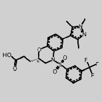 Cc1nn(C)c(C)c1-c1ccc2c(c1)N(S(=O)(=O)c1cccc(C(F)(F)F)c1)C[C@H](CCC(=O)O)O2